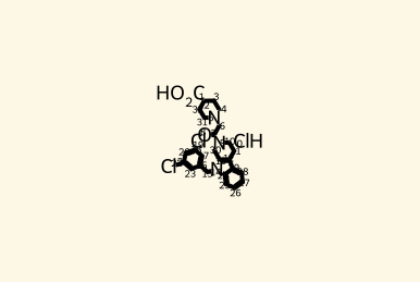 Cl.O=C(O)C1CCN(CC(=O)N2CCc3c(n(Cc4cc(Cl)cc(Cl)c4)c4ccccc34)C2)CC1